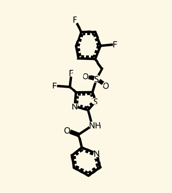 O=C(Nc1nc(C(F)F)c(S(=O)(=O)Cc2ccc(F)cc2F)s1)c1ccccn1